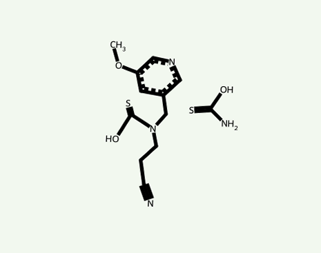 COc1cncc(CN(CCC#N)C(O)=S)c1.NC(O)=S